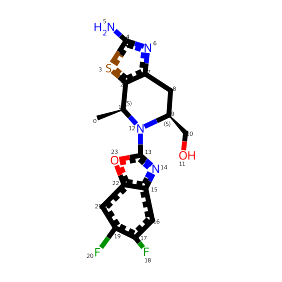 C[C@H]1c2sc(N)nc2C[C@@H](CO)N1c1nc2cc(F)c(F)cc2o1